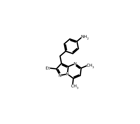 CCc1nn2c(C)cc(C)nc2c1Cc1ccc(N)cc1